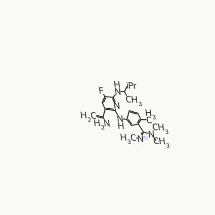 C=C(N)c1cc(F)c(NC(C)C(C)C)nc1Nc1ccc(C)c(/C(=N\C)N(C)C)c1